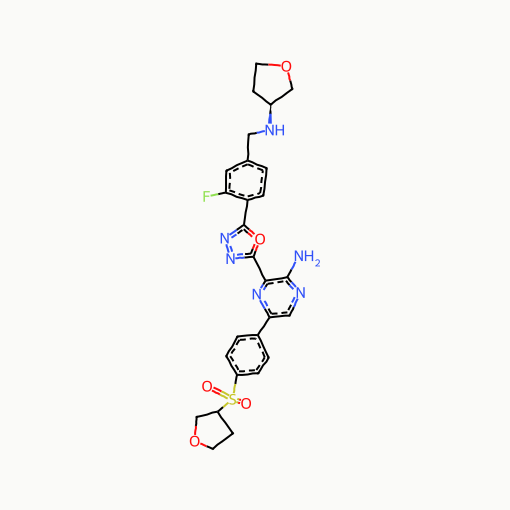 Nc1ncc(-c2ccc(S(=O)(=O)C3CCOC3)cc2)nc1-c1nnc(-c2ccc(CN[C@H]3CCOC3)cc2F)o1